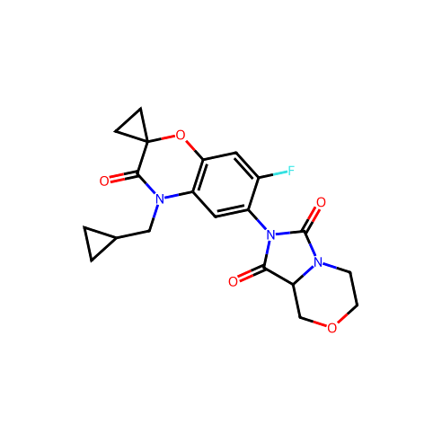 O=C1C2COCCN2C(=O)N1c1cc2c(cc1F)OC1(CC1)C(=O)N2CC1CC1